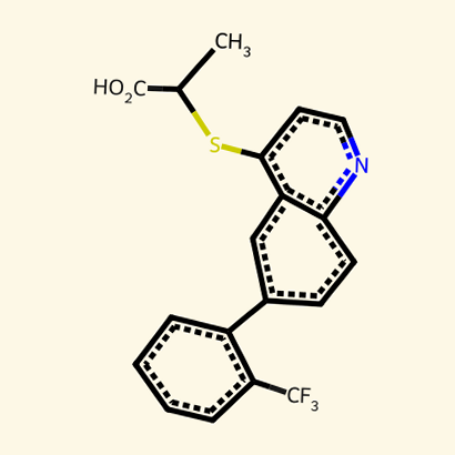 CC(Sc1ccnc2ccc(-c3ccccc3C(F)(F)F)cc12)C(=O)O